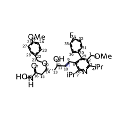 COCc1c(C(C)C)nc(C(C)C)c(/C=C/[C@@H](O)C[C@H](CC(=O)NO)OCc2ccc(OC)cc2)c1-c1ccc(F)cc1